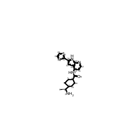 C[C@H](N)C1CCC(C(=O)Nc2ccnc3[nH]c(-c4nccs4)cc23)CC1